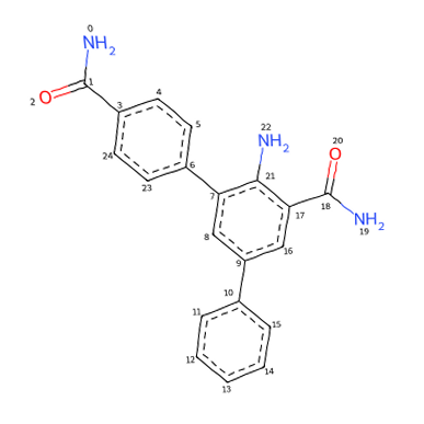 NC(=O)c1ccc(-c2cc(-c3ccccc3)cc(C(N)=O)c2N)cc1